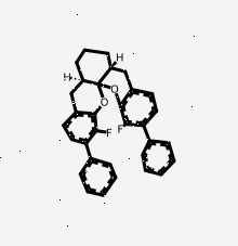 Fc1c(-c2ccccc2)ccc2c1OC13Oc4c(ccc(-c5ccccc5)c4F)C[C@H]1CCC[C@@H]3C2